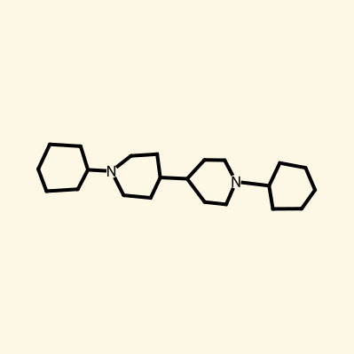 C1CCC(N2CCC(C3CCN(C4CCCCC4)CC3)CC2)CC1